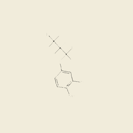 Nc1ccc(SC(F)(F)C(F)(F)C(F)(F)F)cc1Br